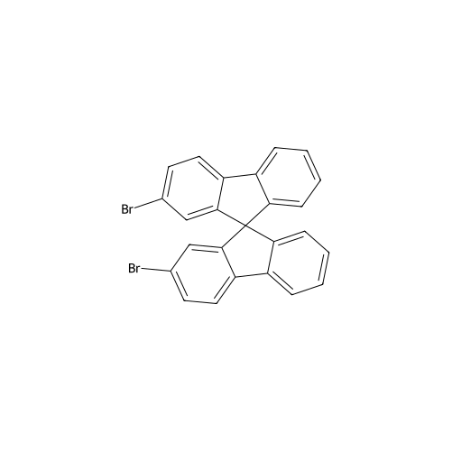 Brc1ccc2c(c1)C1(c3ccccc3-2)c2ccccc2-c2ccc(Br)cc21